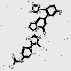 Cc1nc([C@@H]2CCc3cc(-c4cc(Cl)ccc4-n4cnnn4)cc(=O)n32)[nH]c1-c1ccc(NC(=O)O)cn1